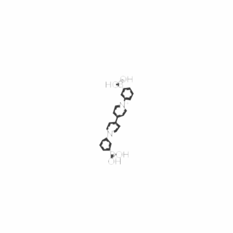 OB(O)c1cccc(-[n+]2ccc(-c3cc[n+](-c4cccc(B(O)O)c4)cc3)cc2)c1